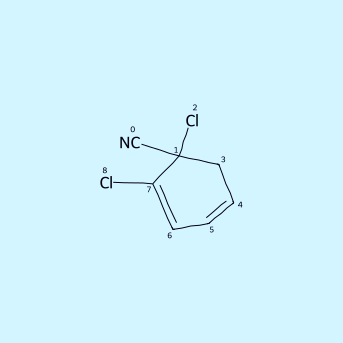 N#CC1(Cl)CC=CC=C1Cl